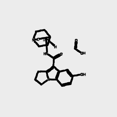 O=C(N[C@@H]1CN2CCC1CC2)c1c2n(c3ccc(O)cc13)CCC2.O=CO